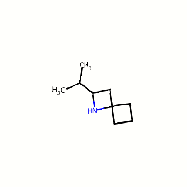 CC(C)C1CC2(CCC2)N1